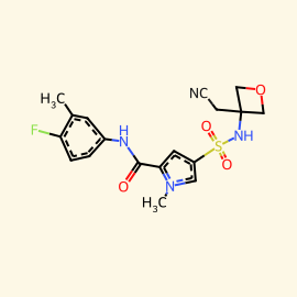 Cc1cc(NC(=O)c2cc(S(=O)(=O)NC3(CC#N)COC3)cn2C)ccc1F